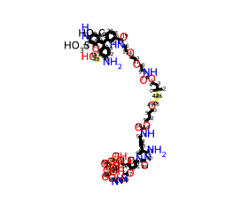 CC(C)(CCOC(=O)NCCOCCOCCNC(=O)c1ccc(C(=O)O)c(-c2c3ccc(=N)c(S(=O)(=O)O)c-3oc3c(SO)c(N)ccc23)c1)SSCOCCCCOC(=O)NCC#Cc1cn([C@H]2CC(OCN=[N+]=[N-])[C@@H](COP(=O)(O)OP(=O)(O)OP(=O)(O)O)O2)c(=O)nc1N